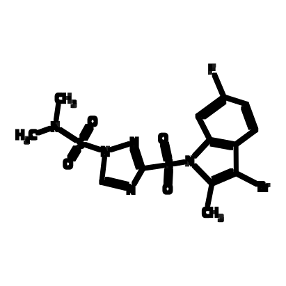 Cc1c(Br)c2ccc(F)cc2n1S(=O)(=O)c1ncn(S(=O)(=O)N(C)C)n1